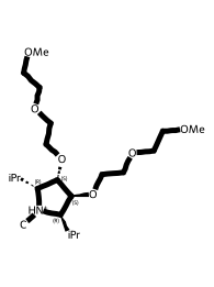 [CH2-][NH+]1[C@H](C(C)C)[C@H](OCCOCCOC)[C@@H](OCCOCCOC)[C@H]1C(C)C